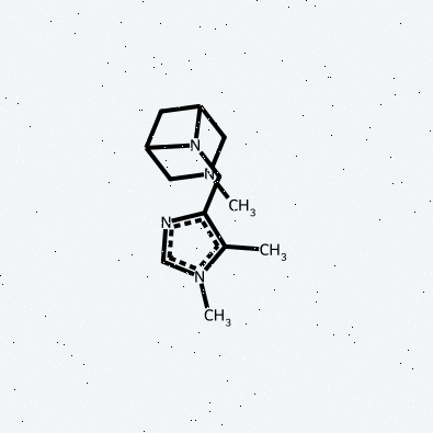 Cc1c(CN2C3CC2CN(C)C3)ncn1C